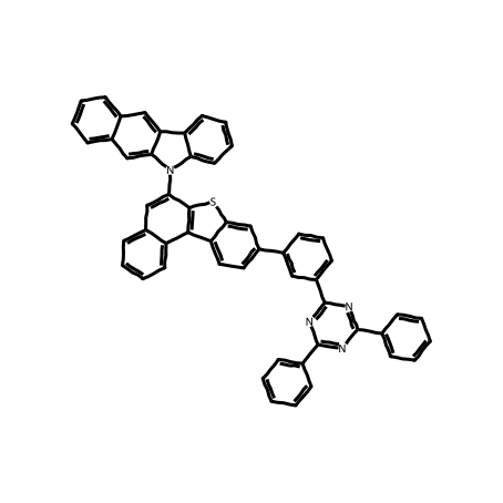 c1ccc(-c2nc(-c3ccccc3)nc(-c3cccc(-c4ccc5c(c4)sc4c(-n6c7ccccc7c7cc8ccccc8cc76)cc6ccccc6c45)c3)n2)cc1